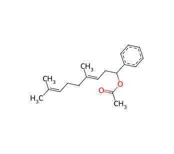 CC(=O)OC(C/C=C(\C)CCC=C(C)C)c1ccccc1